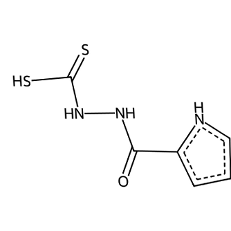 O=C(NNC(=S)S)c1ccc[nH]1